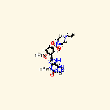 C=CCN1CCN(S(=O)(=O)c2ccc(OCCC)c(-c3nc4c([nH]3)c3nncn3c(=O)n4CCC)c2)CC1